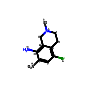 CCN1CCc2c(Br)cc([N+](=O)[O-])c(N)c2C1